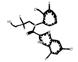 O=C(c1nc2cc(Cl)cc(F)c2[nH]1)N(CC(F)(F)CO)c1cccc(F)c1Cl